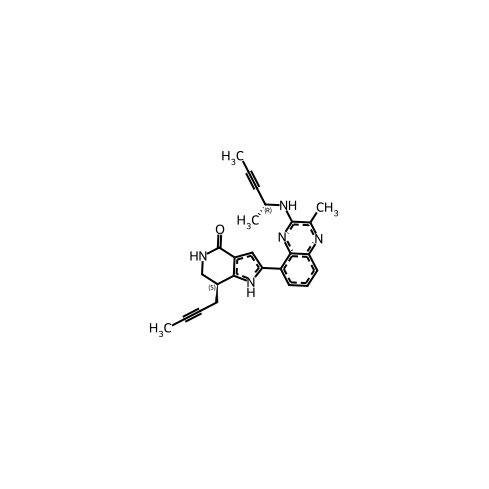 CC#CC[C@H]1CNC(=O)c2cc(-c3cccc4nc(C)c(N[C@H](C)C#CC)nc34)[nH]c21